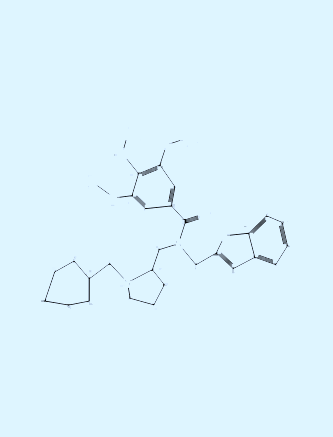 COc1cc(C(=O)N(Cc2cc3ccccc3o2)CC2CCCN2CC2CCCCC2)cc(OC)c1OC